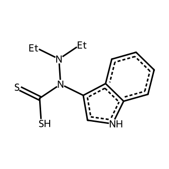 CCN(CC)N(C(=S)S)c1c[nH]c2ccccc12